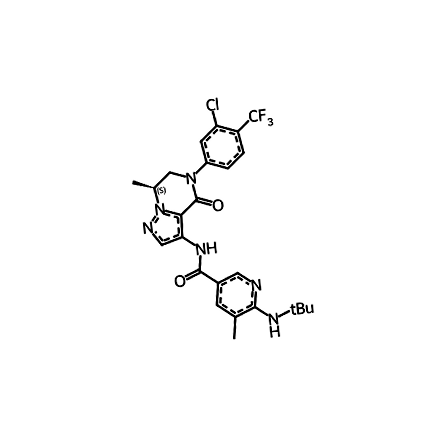 Cc1cc(C(=O)Nc2cnn3c2C(=O)N(c2ccc(C(F)(F)F)c(Cl)c2)C[C@@H]3C)cnc1NC(C)(C)C